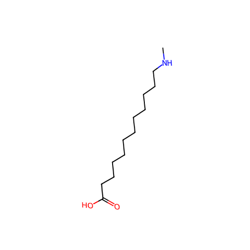 CNCCCCCCCCCCCC(=O)O